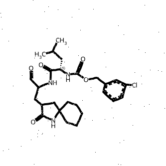 CC(C)C[C@H](NC(=O)OCc1cccc(Cl)c1)C(=O)NC(C=O)CC1CC2(CCCCC2)NC1=O